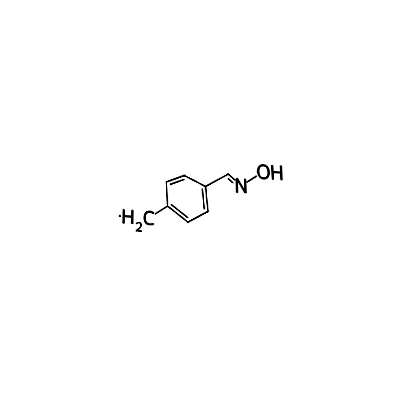 [CH2]c1ccc(/C=N/O)cc1